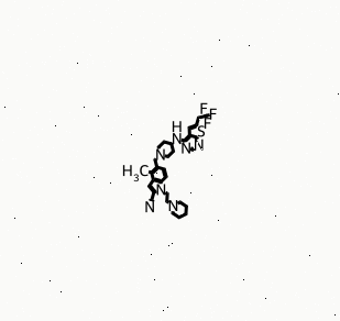 Cc1c(CN2CCC(Nc3ncnc4sc(CC(F)(F)F)cc34)CC2)ccc2c1cc(C#N)n2CCN1CCCCC1